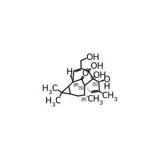 CC1=C[C@]23C(=O)[C@@H](C=C(CO)[C@@H](O)[C@]2(O)[C@H]1O)C1C(C[C@H]3C)C1(C)C